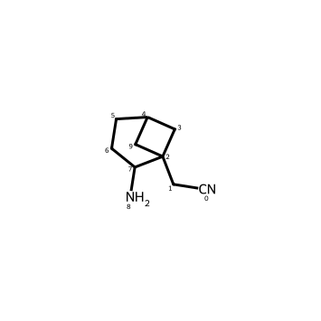 N#CCC12CC(CCC1N)C2